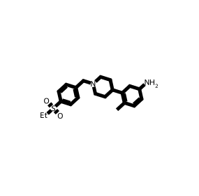 CCS(=O)(=O)c1ccc(CN2CCC(C3=C(C)C=CC(N)C3)CC2)cc1